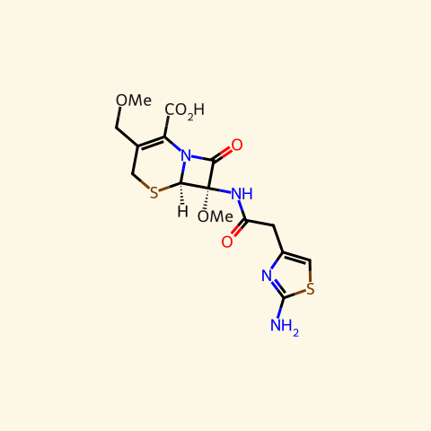 COCC1=C(C(=O)O)N2C(=O)[C@](NC(=O)Cc3csc(N)n3)(OC)[C@H]2SC1